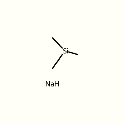 C[Si](C)C.[NaH]